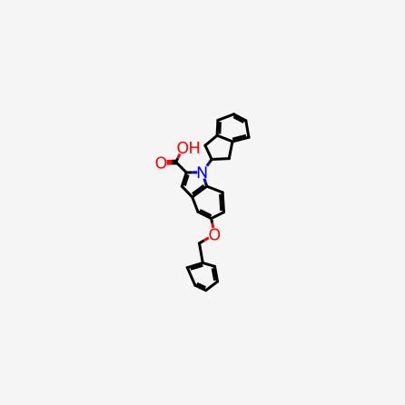 O=C(O)c1cc2cc(OCc3ccccc3)ccc2n1C1Cc2ccccc2C1